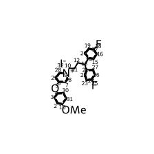 COc1ccc(Oc2cc[n+](CCCC(c3ccc(F)cc3)c3ccc(F)cc3)cc2)cc1.[I-]